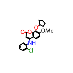 COc1ccc2c(Nc3ccccc3Cl)cc(=O)oc2c1OC1CCCC1